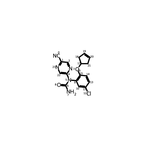 N#Cc1cnc(N(C(N)=O)c2cc(Cl)ccc2OC2CC=CC2)cn1